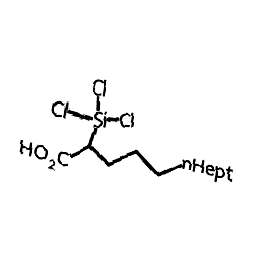 CCCCCCCCCCC(C(=O)O)[Si](Cl)(Cl)Cl